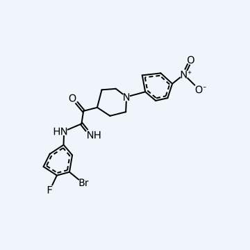 N=C(Nc1ccc(F)c(Br)c1)C(=O)C1CCN(c2ccc([N+](=O)[O-])cc2)CC1